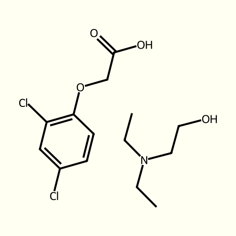 CCN(CC)CCO.O=C(O)COc1ccc(Cl)cc1Cl